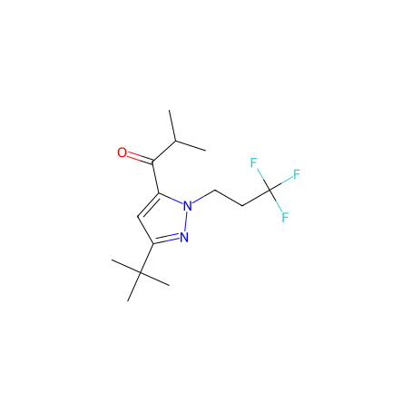 CC(C)C(=O)c1cc(C(C)(C)C)nn1CCC(F)(F)F